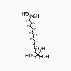 OCC(CO)(CO)COCCCCCCCCCC(O)S